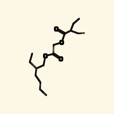 CCCCC(CC)COC(=O)COC(=O)C(CC)CC